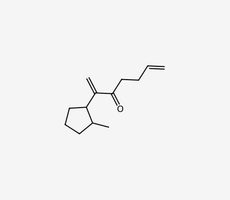 C=CCCC(=O)C(=C)C1CCCC1C